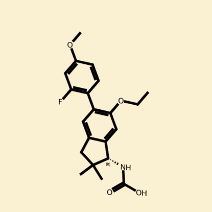 CCOc1cc2c(cc1-c1ccc(OC)cc1F)CC(C)(C)[C@H]2NC(=O)O